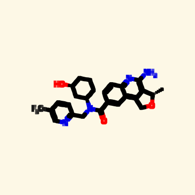 C[C@@H]1OCc2c1c(N)nc1ccc(C(=O)N(Cc3ccc(C(F)(F)F)cn3)[C@@H]3CCC[C@H](O)C3)cc21